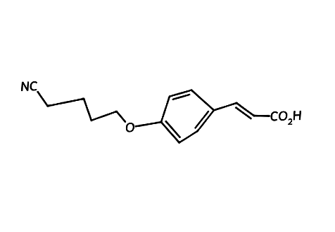 N#CCCCCOc1ccc(/C=C/C(=O)O)cc1